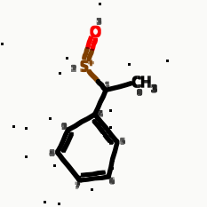 CC([S+]=O)c1cc[c]cc1